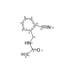 [CH2]C(=O)NCc1ccccc1C#N